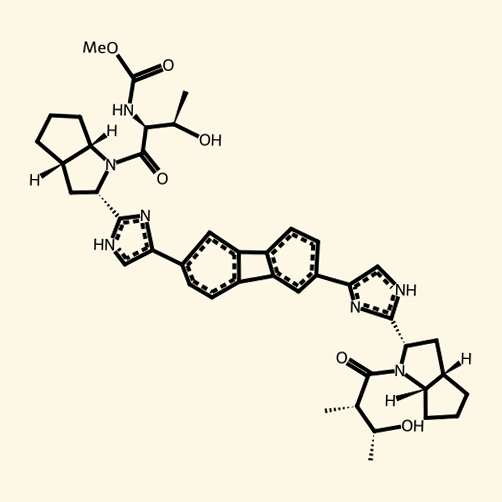 COC(=O)N[C@H](C(=O)N1[C@H](c2nc(-c3ccc4c(c3)-c3ccc(-c5c[nH]c([C@@H]6C[C@@H]7CCC[C@@H]7N6C(=O)[C@@H](C)[C@@H](C)O)n5)cc3-4)c[nH]2)C[C@@H]2CCC[C@@H]21)[C@@H](C)O